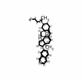 CN(CCF)[C@H]1CCC2=CC3=CC[C@]4(C)[C@@H](c5ccc6ccncc6c5)CC[C@H]4[C@@]34CC[C@]2(C1)O4